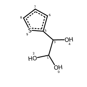 OC(O)C(O)c1cccs1